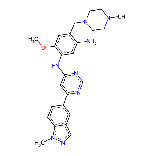 COc1cc(CN2CCN(C)CC2)c(N)cc1Nc1cc(-c2ccc3c(cnn3C)c2)ncn1